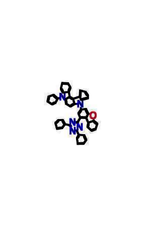 c1ccc(-c2nc(-c3ccccc3)nc(-c3cc(-n4c5ccccc5c5c6c7ccccc7n(-c7ccccc7)c6ccc54)cc4oc5ccccc5c34)n2)cc1